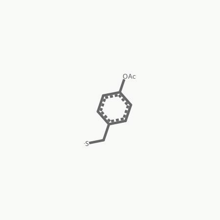 CC(=O)Oc1ccc(C[S])cc1